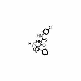 Cc1onc(-c2ccccc2)c1C(=O)NC(=S)Nc1ccc(Cl)cc1